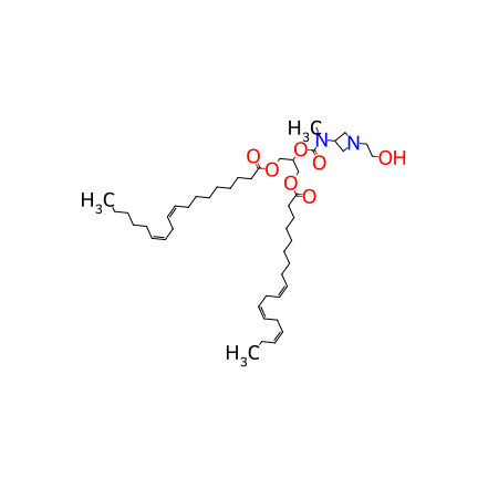 CC/C=C\C/C=C\C/C=C\CCCCCCCC(=O)OCC(COC(=O)CCCCCCC/C=C\C/C=C\CCCCC)OC(=O)N(C)C1CN(CCO)C1